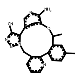 Cc1ccc2c(c1)C(C)Oc1cc(cnc1N)-c1c(C#N)nnn1Cc1cccnc1-2